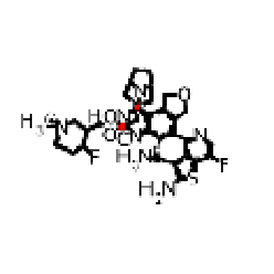 C[C@@H](O)CN1CC2CCC(C1)N2c1nc(OCC2CN(C)CCC2F)nc2c(F)c(-c3ncc(F)c4sc(N)c(C#N)c34)c3c(c12)COC3